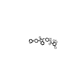 Cc1ncc(Cl)cc1C(=O)N[C@H]1CC[C@H](Cn2c(=O)n(C3CCN(c4cccnc4)CC3)c3ccccc32)CC1